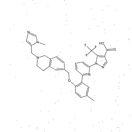 Cc1ccc(OCc2ccc3c(c2)CCN(Cc2cncn2C)C3)c(-c2cccc(-n3ncc(C(=O)O)c3C(F)(F)F)n2)c1